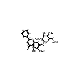 COc1c(OC2OC(COC(C)=O)C(OC(C)=O)C(OC(C)=O)C2OC(C)=O)cc2oc(-c3ccccc3)cc(=O)c2c1O